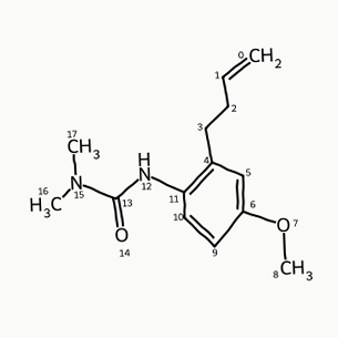 C=CCCc1cc(OC)ccc1NC(=O)N(C)C